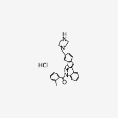 Cc1ccccc1C(=O)Nc1ccccc1-c1cc2ccc(CN3CCNCC3)cc2o1.Cl